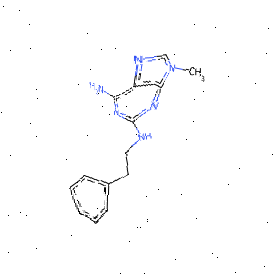 Cn1cnc2c(N)nc(NCCc3ccccc3)nc21